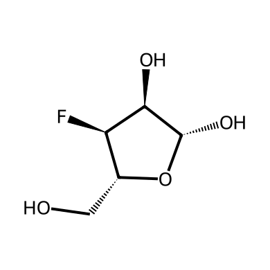 OC[C@H]1O[C@@H](O)[C@H](O)[C@@H]1F